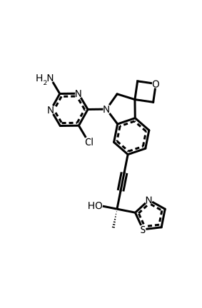 C[C@](O)(C#Cc1ccc2c(c1)N(c1nc(N)ncc1Cl)CC21COC1)c1nccs1